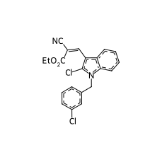 CCOC(=O)/C(C#N)=C\c1c(Cl)n(Cc2cccc(Cl)c2)c2ccccc12